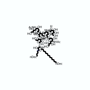 CCCCCCCCCCCCC/C=C/[C@@H](O)[C@H](CO[C@@H]1OC(CO)[C@@H](O[C@@H]2OC(CO)[C@H](O[C@@H]3OC(CO[C@]4(C(=O)O)CC(O)[C@@H](NC(C)=O)C([C@H](O)[C@H](O)CO)O4)[C@H](O)[C@H](O[C@@H]4OC(CO)[C@H](O)[C@H](O)C4O)C3NC(C)=O)[C@H](O[C@]3(C(=O)O)CC(O)[C@@H](NC(C)=O)C([C@H](O)[C@H](O)CO)O3)C2O)[C@H](O)C1O)NC(=O)CCCCCCCCCCCCCCCCCCCCCCC